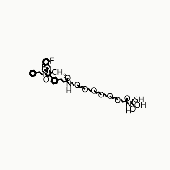 Cc1c(-c2cccc(CCC(=O)NCCOCCOCCOCCOCCOCCOCCC(=O)NC(CS)C(=O)O)c2)c(=O)n(CCc2ccccc2)c(=O)n1Cc1c(F)cccc1F